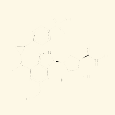 CCCSc1nc(N(C)C2CC2c2ccc(S(N)(=O)=O)cc2)c2nnn([C@H]3C[C@@H](C(=O)NCC)[C@H](O)[C@@H]3O)c2n1